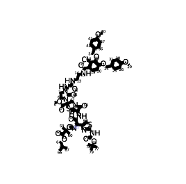 COC(=O)[C@@]1(N2CCN(NC(=O)NCCNC(=O)c3ccc(OCc4ccc(OC)cc4)c(OCc4ccc(OC)cc4)c3Cl)C2=O)CN2C(=O)C(NC(=O)/C(=N\OC(C)(C)C(=O)OCC(C)C)c3csc(NC(=O)OC(C)(C)C)n3)[C@H]2S1